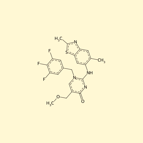 COCc1cn(Cc2cc(F)c(F)c(F)c2)c(Nc2cc3sc(C)nc3cc2C)nc1=O